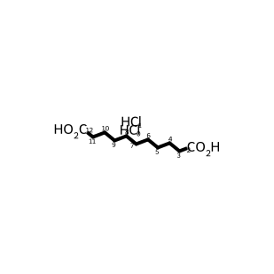 Cl.Cl.O=C(O)CCCCCCCCCC(=O)O